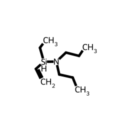 C=C[SiH](CC)N(CCC)CCC